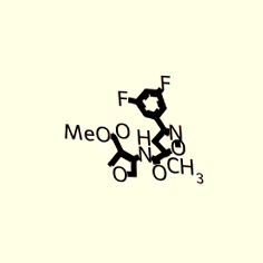 COC(=O)C1=C(NC(=O)C2(C)CC(c3cc(F)cc(F)c3)=NO2)COC1